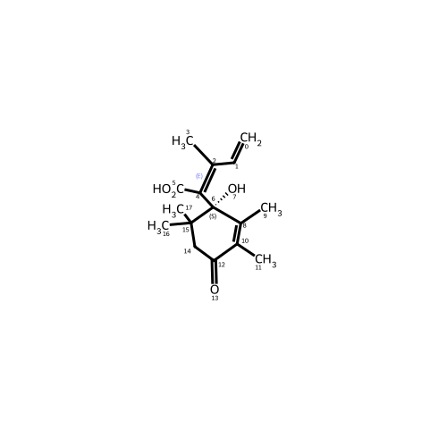 C=C/C(C)=C(/C(=O)O)[C@@]1(O)C(C)=C(C)C(=O)CC1(C)C